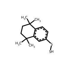 CC1(C)CCC(C)(C)c2cc(SS)ccc21